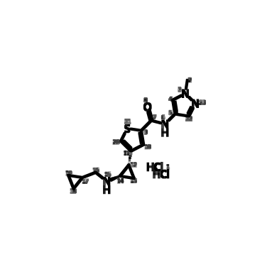 Cl.Cl.Cn1cc(NC(=O)c2cc([C@@H]3C[C@H]3NCC3CC3)cs2)cn1